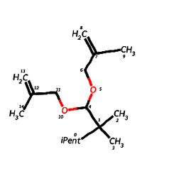 [CH2]CCC(C)C(C)(C)[C](OCC(=C)C)OCC(=C)C